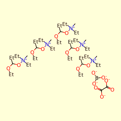 CCOC(CC)O[N+](C)(CC)CC.CCOC(CC)O[N+](C)(CC)CC.CCOC(CC)O[N+](C)(CC)CC.CCOC(CC)O[N+](C)(CC)CC.CCOC(CC)O[N+](C)(CC)CC.O=C([O-])C(=O)[O-].[O-]B([O-])[O-]